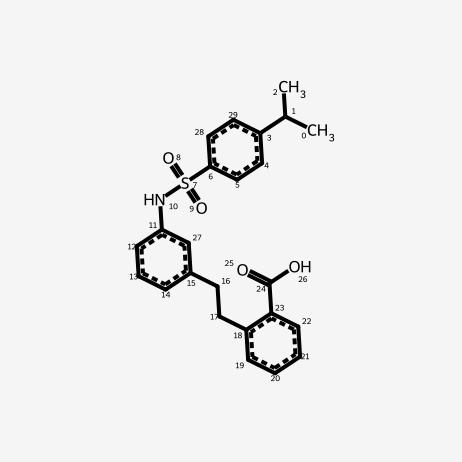 CC(C)c1ccc(S(=O)(=O)Nc2cccc(CCc3ccccc3C(=O)O)c2)cc1